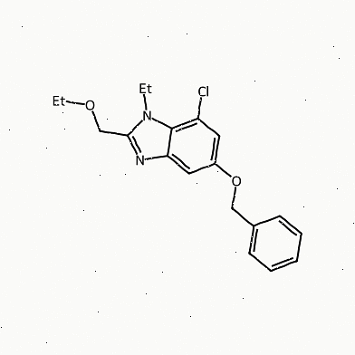 CCOCc1nc2cc(OCc3ccccc3)cc(Cl)c2n1CC